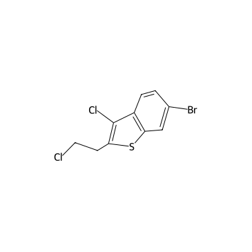 ClCCc1sc2cc(Br)ccc2c1Cl